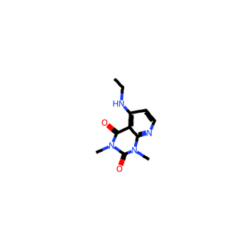 CCNc1ccnc2c1c(=O)n(C)c(=O)n2C